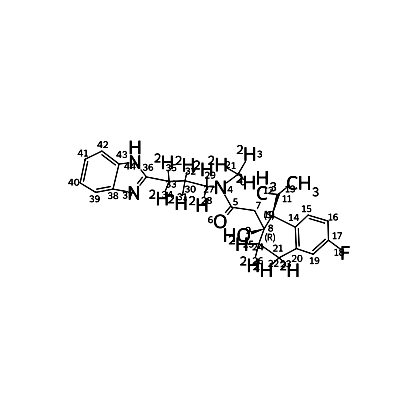 [2H]C([2H])([2H])N(C(=O)C[C@]1(O)[C@@H](C(C)C)c2ccc(F)cc2C([2H])([2H])C1([2H])[2H])C([2H])([2H])C([2H])([2H])C([2H])([2H])c1nc2ccccc2[nH]1